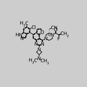 C=C(F)C(=O)N1CCN(c2nc(N3CC(N(C)C)C3)nc3cc(-c4c(Cl)c(C)cc5[nH]ncc45)c4ccoc4c23)C[C@@H]1CC#N